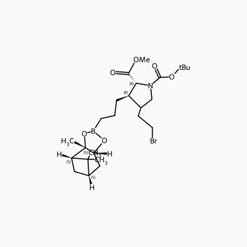 COC(=O)[C@H]1[C@H](CCCB2O[C@@H]3C[C@@H]4C[C@@H](C4(C)C)[C@]3(C)O2)C(CCBr)CN1C(=O)OC(C)(C)C